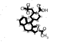 CC(=O)n1cc2c(n1)C(=C1CCN(C(=O)O)C(CC(Cl)(Cl)Cl)C1)c1ccccc1CC2